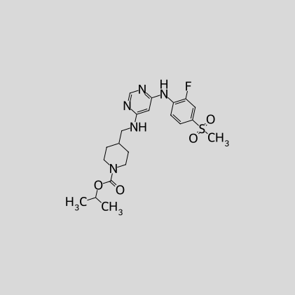 CC(C)OC(=O)N1CCC(CNc2cc(Nc3ccc(S(C)(=O)=O)cc3F)ncn2)CC1